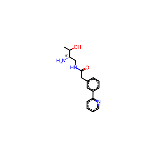 CC(O)[C@@H](N)CNC(=O)Cc1cccc(-c2ccccn2)c1